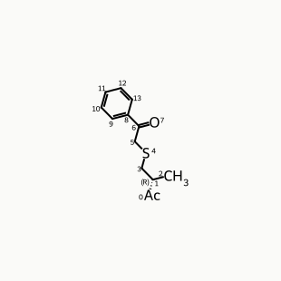 CC(=O)[C@@H](C)CSCC(=O)c1ccccc1